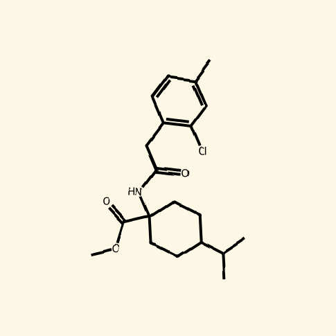 COC(=O)C1(NC(=O)Cc2ccc(C)cc2Cl)CCC(C(C)C)CC1